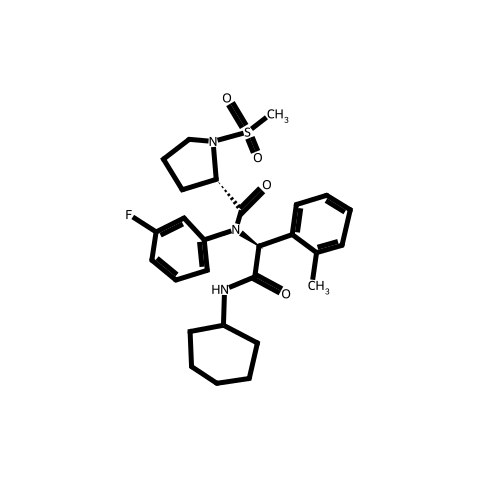 Cc1ccccc1[C@@H](C(=O)NC1CCCCC1)N(C(=O)[C@@H]1CCCN1S(C)(=O)=O)c1cccc(F)c1